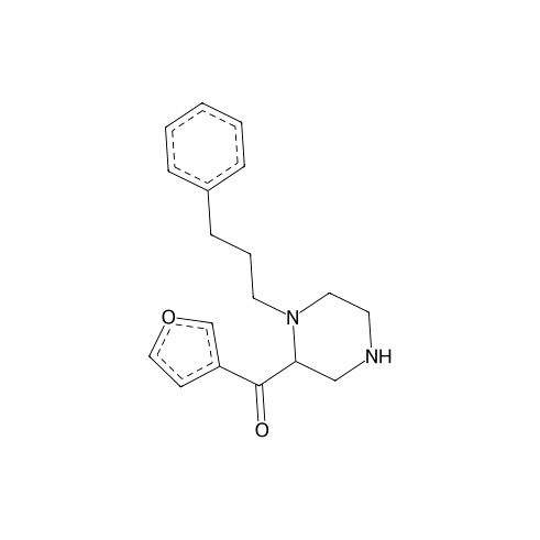 O=C(c1ccoc1)C1CNCCN1CCCc1ccccc1